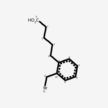 O=C(O)CCCCc1ccccc1CBr